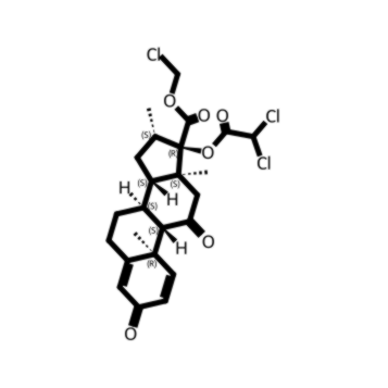 C[C@H]1C[C@H]2[C@@H]3CCC4=CC(=O)C=C[C@]4(C)[C@H]3C(=O)C[C@]2(C)[C@@]1(OC(=O)C(Cl)Cl)C(=O)OCCl